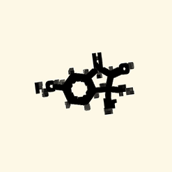 O=C1Nc2cc(C(F)(F)F)ccc2C1(F)Br